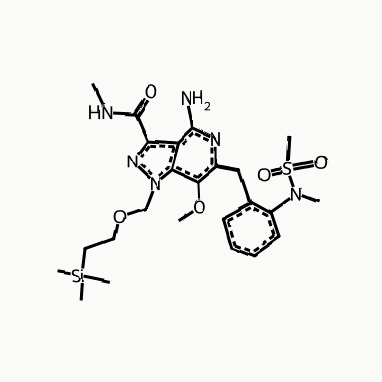 CNC(=O)c1nn(COCC[Si](C)(C)C)c2c(OC)c(Cc3ccccc3N(C)S(C)(=O)=O)nc(N)c12